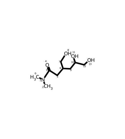 CN(C)C(=O)CC(CO)CC(O)CO